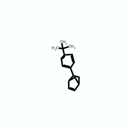 CC(C)(C)c1ccc(C2CC3C=CC2C3)cc1